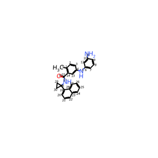 Cc1ccc(Nc2cccc(N)c2)cc1C(=O)NC1(c2cccc3ccccc23)CC1